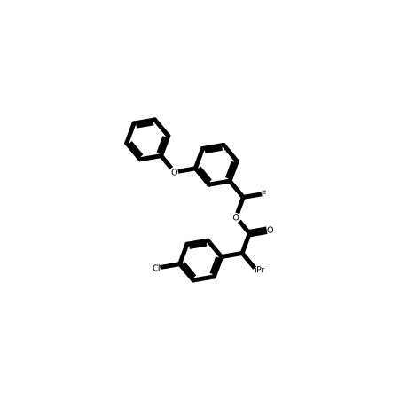 CC(C)C(C(=O)OC(F)c1cccc(Oc2ccccc2)c1)c1ccc(Cl)cc1